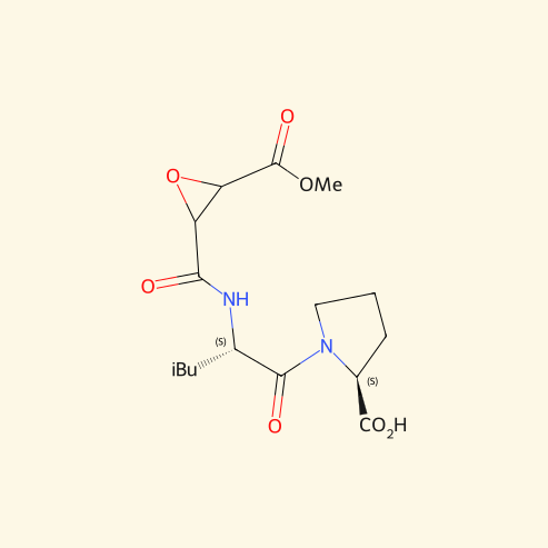 CCC(C)[C@H](NC(=O)C1OC1C(=O)OC)C(=O)N1CCC[C@H]1C(=O)O